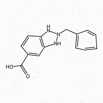 O=C(O)c1ccc2c(c1)NN(Cc1ccccc1)N2